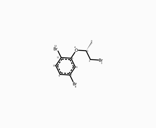 C[C@H](CBr)Oc1cc(Br)ccc1Br